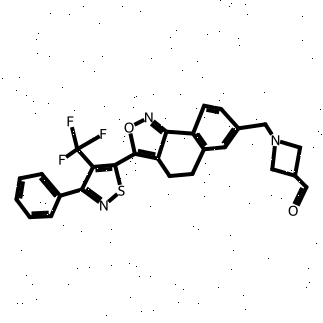 O=CC1CN(Cc2ccc3c(c2)CCc2c-3noc2-c2snc(-c3ccccc3)c2C(F)(F)F)C1